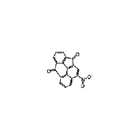 O=C1c2cccc3c2-c2c1cc([N+](=O)[O-])c1cccc(c21)C3=O